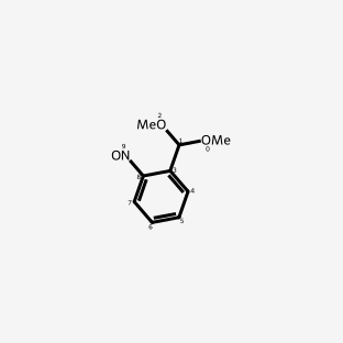 COC(OC)c1ccccc1N=O